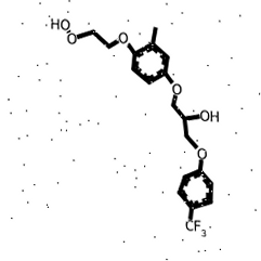 Cc1cc(OCC(O)COc2ccc(C(F)(F)F)cc2)ccc1OCCOO